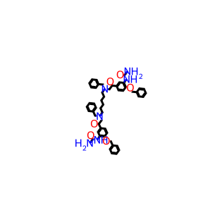 NC(=O)Nc1cc(C(=O)CN(CCCCCCN(CC(=O)c2ccc(OCc3ccccc3)c(NC(N)=O)c2)Cc2ccccc2)Cc2ccccc2)ccc1OCc1ccccc1